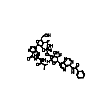 CC(C)C(=O)Nc1nc2c(ncn2[C@@H]2O[C@H](CO)[C@@H](F)[C@H]2OP(O)(=S)OC2[C@H]3O[C@@H](n4cnc5c(NC(=O)c6ccccc6)ncnc54)[C@H](F)[C@@]23O)c(=O)[nH]1